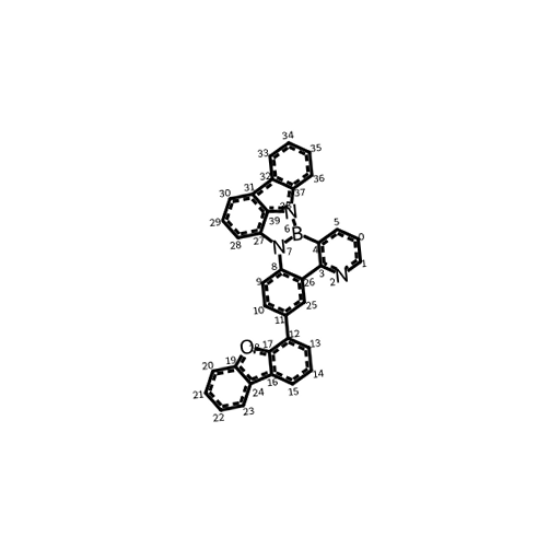 c1cnc2c(c1)B1N(c3ccc(-c4cccc5c4oc4ccccc45)cc3-2)c2cccc3c4ccccc4n1c23